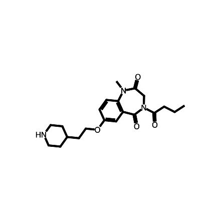 CCCC(=O)N1CC(=O)N(C)c2ccc(OCCC3CCNCC3)cc2C1=O